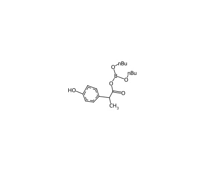 CCCCOB(OCCCC)OC(=O)C(C)c1ccc(O)cc1